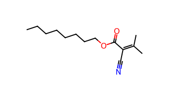 CCCCCCCCOC(=O)C(C#N)=C(C)C